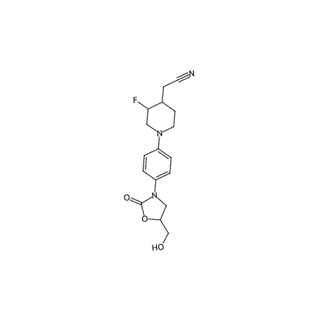 N#CCC1CCN(c2ccc(N3CC(CO)OC3=O)cc2)CC1F